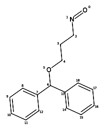 O=NCCCOC(c1ccccc1)c1ccccc1